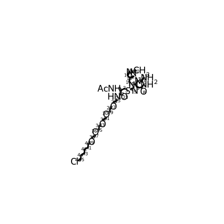 CC(=O)N[C@@H](CSc1nc2c(=O)[nH]c(N)nc2n1Cc1cnn(C)c1)C(=O)NCCOCCOCCOCCOCCOCCCCCCCl